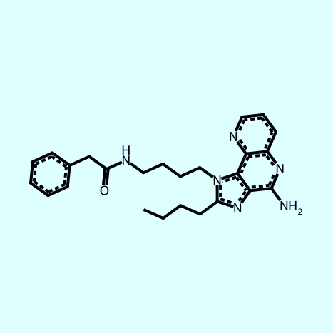 CCCCc1nc2c(N)nc3cccnc3c2n1CCCCNC(=O)Cc1ccccc1